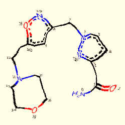 NC(=O)c1[c]cn(Cc2cc(CN3CCOCC3)on2)n1